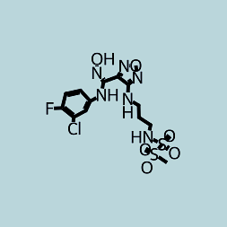 CS(=O)(=O)S(=O)(=O)NCCCNc1nonc1/C(=N\O)Nc1ccc(F)c(Cl)c1